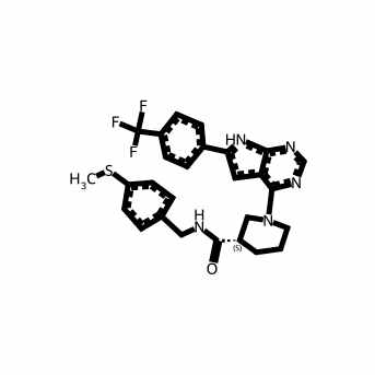 CSc1ccc(CNC(=O)[C@H]2CCCN(c3ncnc4[nH]c(-c5ccc(C(F)(F)F)cc5)cc34)C2)cc1